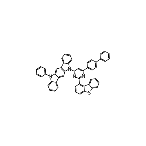 c1ccc(-c2ccc(-c3cc(-n4c5ccccc5c5cc6c(cc54)c4ccccc4n6-c4ccccc4)nc(-c4cccc5sc6ccccc6c45)n3)cc2)cc1